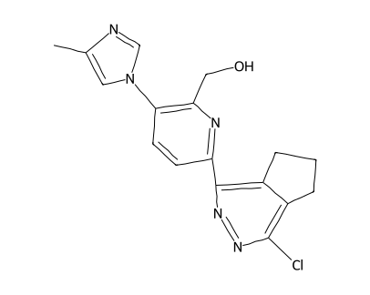 Cc1cn(-c2ccc(-c3nnc(Cl)c4c3CCC4)nc2CO)cn1